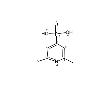 Cc1cc(P(=O)(O)O)cc(C)n1